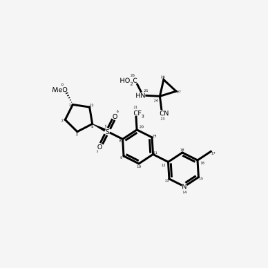 CO[C@H]1CC[C@H](S(=O)(=O)c2ccc(-c3cncc(C)c3)cc2C(F)(F)F)C1.N#CC1(NC(=O)O)CC1